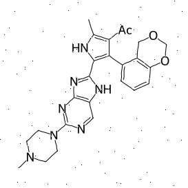 CC(=O)c1c(C)[nH]c(-c2nc3nc(N4CCN(C)CC4)ncc3[nH]2)c1-c1cccc2c1COCO2